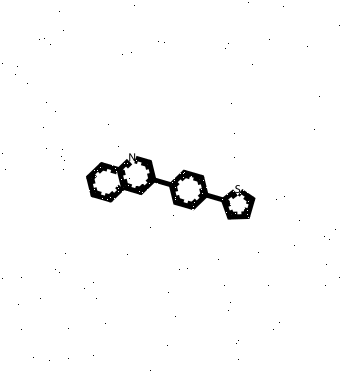 c1csc(-c2ccc(-c3cnc4ccccc4c3)cc2)c1